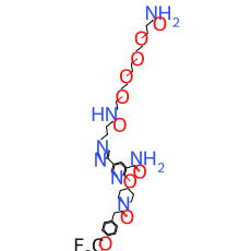 NC(=O)CCOCCOCCOCCOCCNC(=O)CCCn1cnc(-c2cnc(OC3CCN(C(=O)Cc4ccc(OC(F)(F)F)cc4)CC3)c(C(N)=O)c2)c1